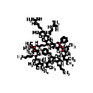 CC(C)C[C@H](NC(=O)[C@@H](NC(=O)[C@H](CCCCN)NC(=O)[C@H](Cc1ccccc1)NC(=O)[C@@H](NC(=O)[C@@H](NC(=O)[C@H](CCCCN)NC(=O)[C@@H](N)CC(C)C)C(C)C)C(C)C)C(C)C)C(=O)N[C@@H](Cc1ccccc1)C(=O)N[C@@H](CCCCN)C(=O)N[C@@H](CCCNC(=N)N)C(=O)N[C@@H](CCCNC(=N)N)C(=O)N[C@@H](CCCNC(=N)N)C(=O)O